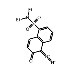 CCN(CC)S(=O)(=O)c1cccc2c1C=CC(=O)C2=[N+]=[N-]